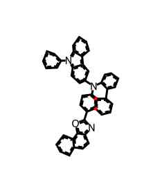 c1ccc(-c2ccccc2N(c2ccc(-c3nc4ccc5ccccc5c4o3)cc2)c2ccc3c(c2)c2ccccc2n3-c2ccccc2)cc1